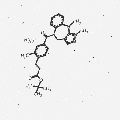 Cc1cc(C(=O)N2Cc3cnn(C)c3N(C)c3ccccc32)ccc1CCC(=O)OC(C)(C)C.[H-].[Na+]